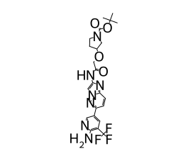 CC(C)(C)OC(=O)N1CCC(OCC(=O)Nc2cn3nc(-c4cnc(N)c(C(F)(F)F)c4)ccc3n2)C1